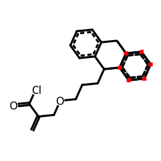 C=C(COCCCC12c3ccccc3C(c3ccccc31)c1ccccc12)C(=O)Cl